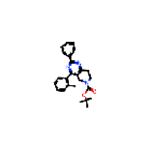 Cc1ccccc1-c1nc(-c2ccccc2)nc2c1CN(C(=O)OC(C)(C)C)CC2